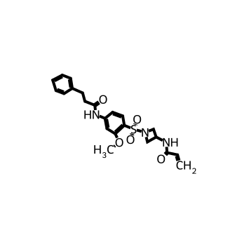 C=CC(=O)NC1CN(S(=O)(=O)c2ccc(NC(=O)CCc3ccccc3)cc2OC)C1